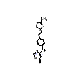 C=C/C=C(\N=C/N)Nc1ccc(CC[C@H]2COC(N)=N2)cc1